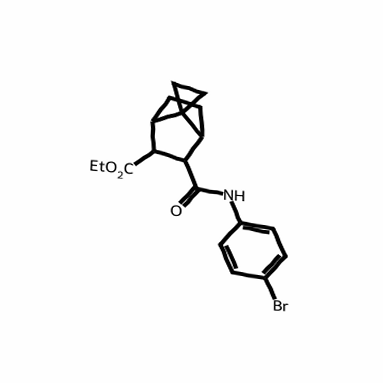 CCOC(=O)C1C(C(=O)Nc2ccc(Br)cc2)C2CCC1C21CC1